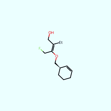 CC/C(CO)=C(/CF)OC[C@H]1C=CCCC1